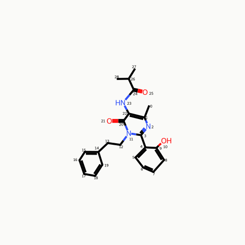 Cc1nc(-c2ccccc2O)n(CCc2ccccc2)c(=O)c1NC(=O)C(C)C